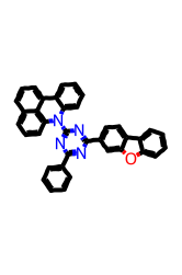 c1ccc(-c2nc(-c3ccc4c(c3)oc3ccccc34)nc(N3c4ccccc4-c4cccc5cccc3c45)n2)cc1